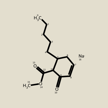 CCCCCC1CC=CC(=O)C1C(=O)OC.[Na]